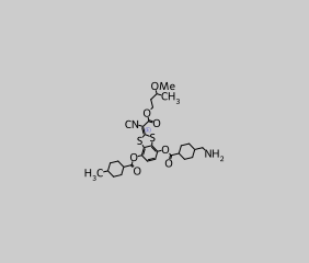 [C-]#[N+]/C(C(=O)OCCC(C)OC)=C1\Sc2c(OC(=O)C3CCC(C)CC3)ccc(OC(=O)C3CCC(CN)CC3)c2S1